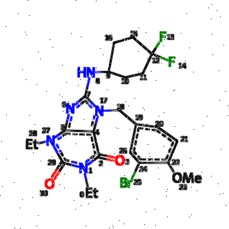 CCn1c(=O)c2c(nc(NC3CCC(F)(F)CC3)n2Cc2ccc(OC)c(Br)c2)n(CC)c1=O